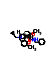 CO[C@]12CC[C@@]3(C=C1C(=O)NCc1ccccc1)[C@H]1Cc4ccc(C)c5c4[C@@]3(CCN1CC1CC1)[C@H]2O5